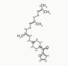 CC(C)=CCC/C(C)=C/CC/C(C)=C/CN1CCN(C(=O)c2ccco2)CC1